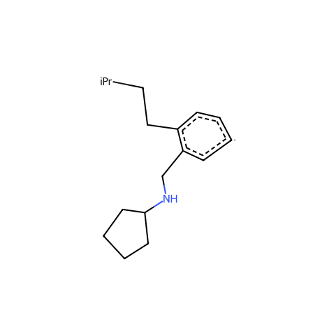 CC(C)CCc1cc[c]cc1CNC1CCCC1